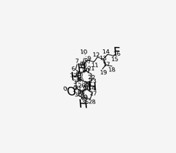 CO[C@@H]1C[C@H]2[C@@H]3CC[C@H]([C@H](C)CCC(CCF)=C(C)C)[C@@]3(C)CC[C@@H]2[C@@]2(C)CC[C@H]3C[C@]312